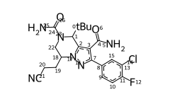 CC(C)(C)C1c2c(C(N)=O)c(-c3ccc(F)c(Cl)c3)nn2C(CCC#N)CN1C(N)=O